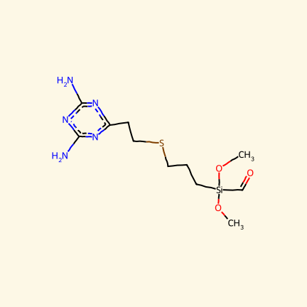 CO[Si](C=O)(CCCSCCc1nc(N)nc(N)n1)OC